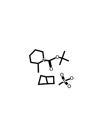 C1CC2CCC12.CC1CCCCN1C(=O)OC(C)(C)C.CS([O])(=O)=O